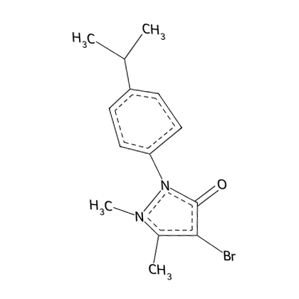 Cc1c(Br)c(=O)n(-c2ccc(C(C)C)cc2)n1C